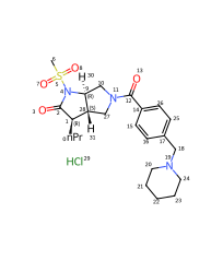 CCC[C@H]1C(=O)N(S(C)(=O)=O)[C@H]2CN(C(=O)c3ccc(CN4CCCCC4)cc3)C[C@H]12.Cl